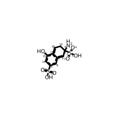 NC1(S(=O)(=O)O)C=c2cc(S(=O)(=O)O)cc(O)c2=CC1